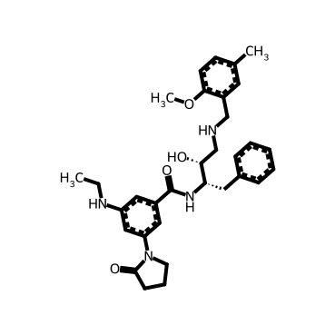 CCNc1cc(C(=O)N[C@@H](Cc2ccccc2)[C@H](O)CNCc2cc(C)ccc2OC)cc(N2CCCC2=O)c1